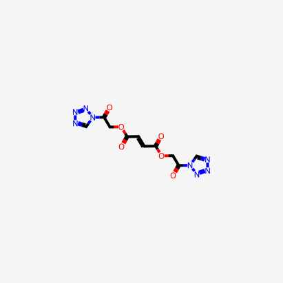 O=C(/C=C/C(=O)OCC(=O)n1cnnn1)OCC(=O)n1cnnn1